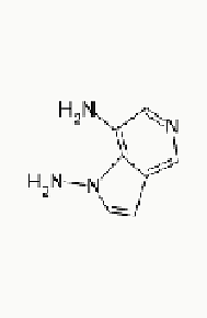 Nc1cncc2ccn(N)c12